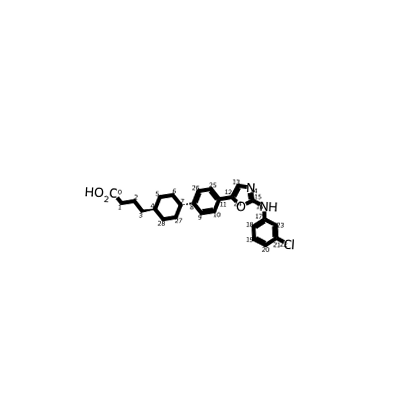 O=C(O)CCC[C@H]1CC[C@H](c2ccc(-c3cnc(Nc4cccc(Cl)c4)o3)cc2)CC1